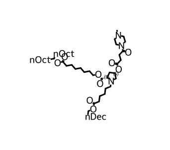 CCCCCCCCCCCOC(=O)CCCCCN1C[C@@H](OC(=O)CCC(=O)N2CCN(C)CC2)C[C@H]1C(=O)OCCCCCCCC(=O)OC(CCCCCCCC)CCCCCCCC